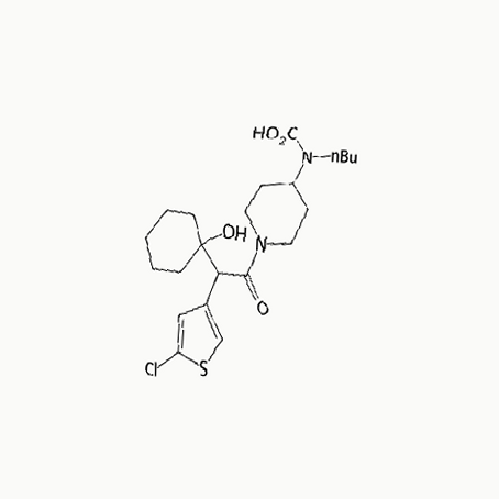 CCCCN(C(=O)O)C1CCN(C(=O)C(c2csc(Cl)c2)C2(O)CCCCC2)CC1